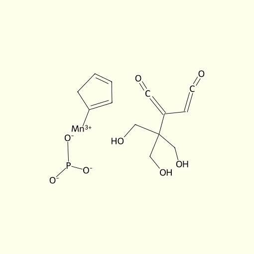 O=C=CC(=C=O)C(CO)(CO)CO.[Mn+3][C]1=CC=CC1.[O-]P([O-])[O-]